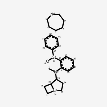 C1CCC[N]CC1.CN(c1ccccc1[S+]([O-])c1ccccc1)C1CC[N+]2CCC12